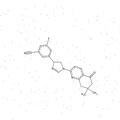 CC1(C)CC(=O)c2ccc(N3C=NC(c4cc(F)cc(C#N)c4)C3)nc2C1